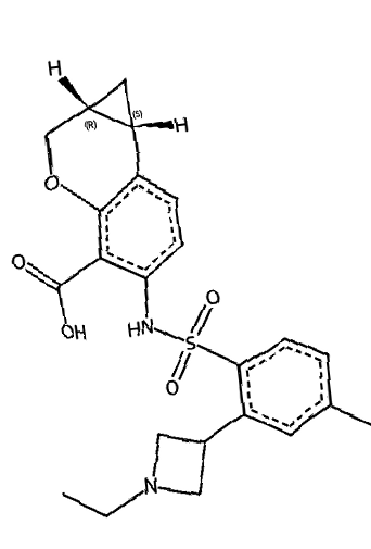 CCN1CC(c2cc(F)ccc2S(=O)(=O)Nc2ccc3c(c2C(=O)O)OC[C@@H]2C[C@H]32)C1